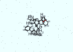 CC(C)(C)CC(=O)N[C@@H](Cc1ccccc1)C(=O)N([C@@H](Cc1c[nH]cn1)C(N)=O)[C@@H](CC1CCCCC1)[C@@H](O)c1ncc[nH]1.Cl.Cl